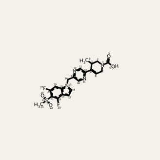 CC1CN(C(=O)O)CC=C1c1cnc(Cn2ccc3c(F)c(S(C)(=O)=O)c(F)cc32)cn1